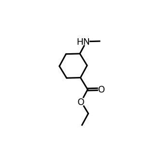 CCOC(=O)C1CCCC(NC)C1